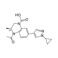 CC(=O)N1c2ccc(-c3cnn(C4CC4)c3)cc2N(C(=O)O)C[C@@H]1C